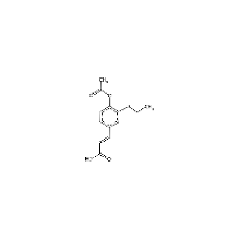 CCOc1cc(C=CC(=O)O)ccc1OC(C)=O